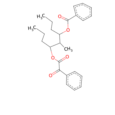 CCCC(OC(=O)C(=O)c1ccccc1)C(C)C(CCC)OC(=O)c1ccccc1